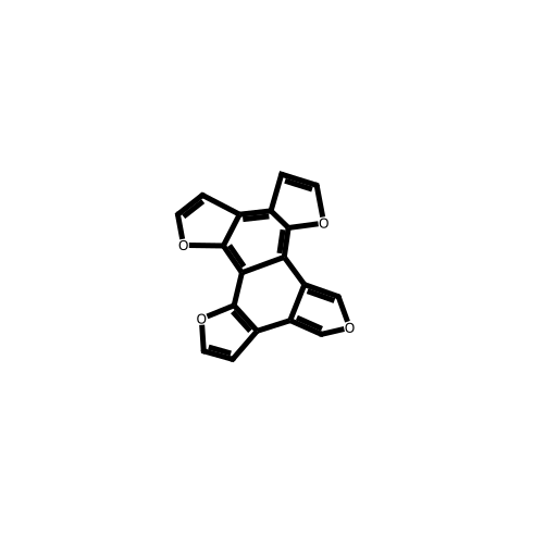 c1cc2c3ccoc3c3c4occc4c4cocc4c3c2o1